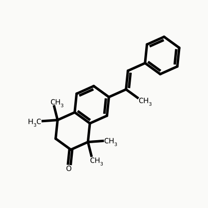 CC(=Cc1ccccc1)c1ccc2c(c1)C(C)(C)C(=O)CC2(C)C